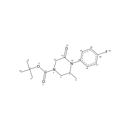 CC1CN(C(=O)OC(C)(C)C)CC(=O)N1c1ccc(F)cc1